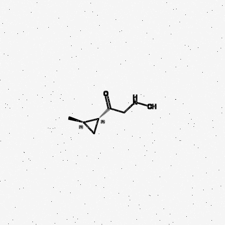 C[C@@H]1C[C@H]1C(=O)CNO